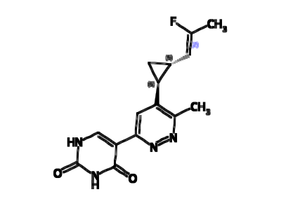 C/C(F)=C/[C@H]1C[C@@H]1c1cc(-c2c[nH]c(=O)[nH]c2=O)nnc1C